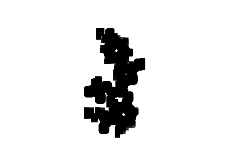 CS(=O)(=O)OCC(Oc1ccc(F)c(C(N)=O)c1F)C1=NC(c2ccc(C(F)(F)F)cc2)C(Cl)O1